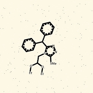 CCOC(Cn1c(SC)nnc1C(c1ccccc1)c1ccccc1)OCC